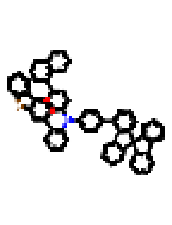 c1ccc(N(c2ccc(-c3cccc4c3-c3ccccc3C43c4ccccc4-c4ccccc43)cc2)c2ccc(-c3cccc4ccccc34)cc2)c(-c2ccc3c(c2)sc2ccccc23)c1